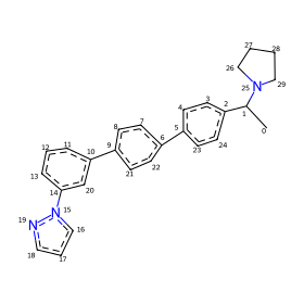 CC(c1ccc(-c2ccc(-c3cccc(-n4cccn4)c3)cc2)cc1)N1CCCC1